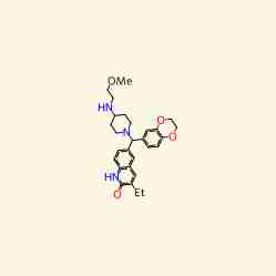 CCc1cc2cc(C(c3ccc4c(c3)OCCO4)N3CCC(NCCOC)CC3)ccc2[nH]c1=O